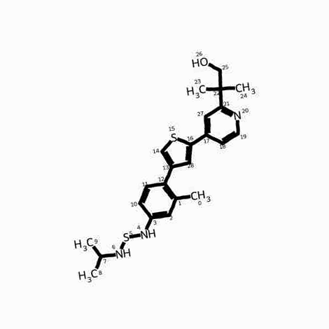 Cc1cc(NSNC(C)C)ccc1-c1csc(-c2ccnc(C(C)(C)CO)c2)c1